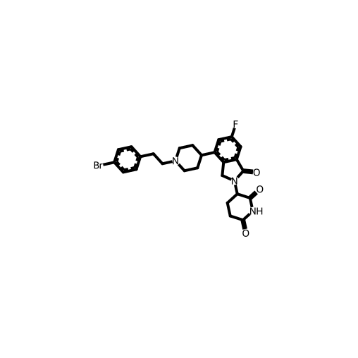 O=C1CCC(N2Cc3c(cc(F)cc3C3CCN(CCc4ccc(Br)cc4)CC3)C2=O)C(=O)N1